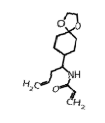 C=CCC(NC(=O)C=C)C1CCC2(CC1)OCCO2